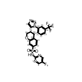 O=S(=O)(Nc1ncc(F)cn1)c1ccc2c(c1)OCC[C@@H]2c1ccc(C(F)(F)F)cc1-n1ccnn1